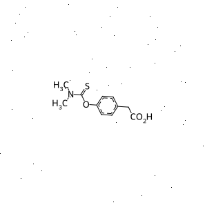 CN(C)C(=S)Oc1ccc(CC(=O)O)cc1